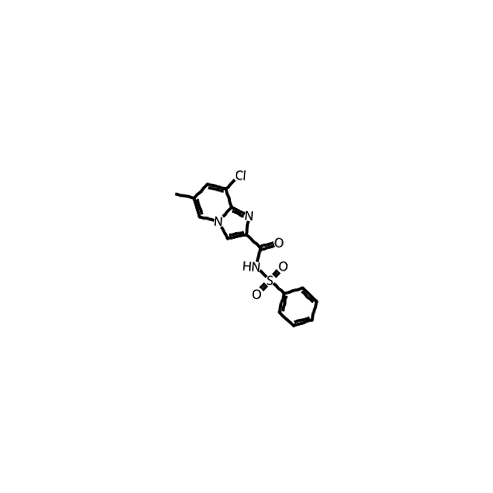 Cc1cc(Cl)c2nc(C(=O)NS(=O)(=O)c3ccccc3)cn2c1